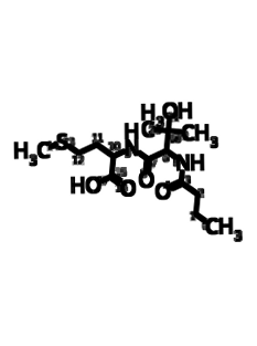 CCCC(=O)NC(C(=O)NC(CCSC)C(=O)O)C(C)(C)O